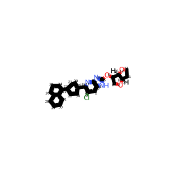 Clc1cc2[nH]c(OC3CO[C@@H]4CCO[C@H]34)nc2nc1-c1ccc(-c2cccc3ccccc23)cc1